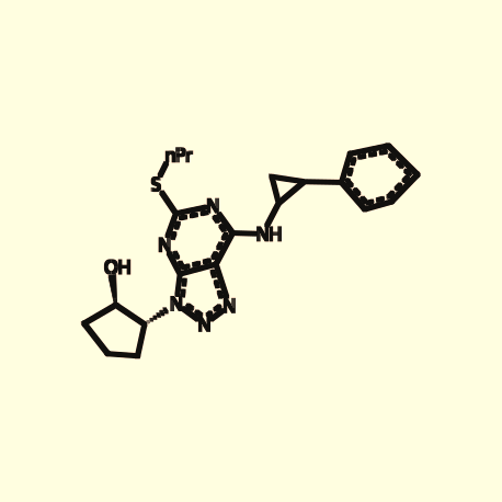 CCCSc1nc(NC2CC2c2ccccc2)c2nnn([C@@H]3CCC[C@H]3O)c2n1